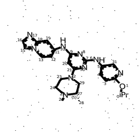 CC(C)Oc1ccc(Nc2nc(Nc3ccn4ccnc4c3)cc(N3CCN(C)[C@@H](C)C3)n2)cn1